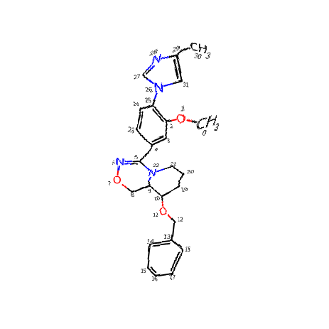 COc1cc(C2=NOCC3C(OCc4ccccc4)CCCN23)ccc1-n1cnc(C)c1